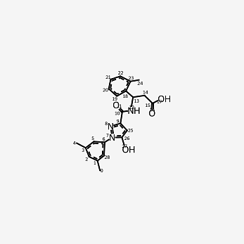 Cc1cc(C)cc(-n2nc(C(=O)NC(CC(=O)O)c3ccccc3C)cc2O)c1